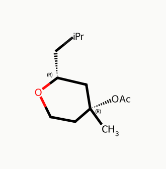 CC(=O)O[C@]1(C)CCO[C@H](CC(C)C)C1